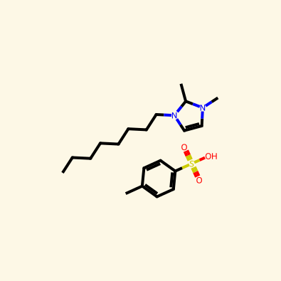 CCCCCCCCN1C=CN(C)C1C.Cc1ccc(S(=O)(=O)O)cc1